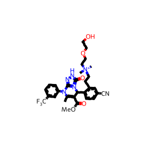 COC(=O)C1=C(C)N(c2cccc(C(F)(F)F)c2)c2n[nH]c(=O)n2C1c1ccc(C#N)cc1CC[N+](C)(C)CCOCCO